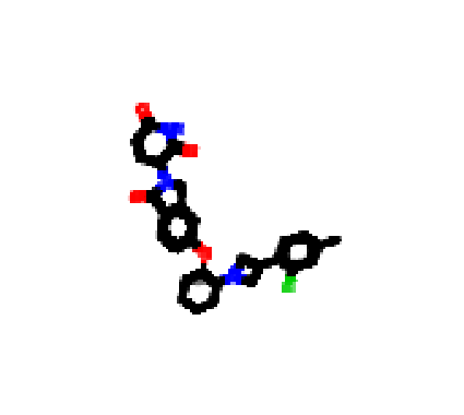 Cc1ccc(C2CN(C3CCCC[C@@H]3Oc3ccc4c(c3)CN(C3CCC(=O)NC3=O)C4=O)C2)c(Cl)c1